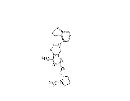 CN1CCC[C@H]1COc1nc(O)c2c(n1)CN(c1cccc3ccccc13)CC2